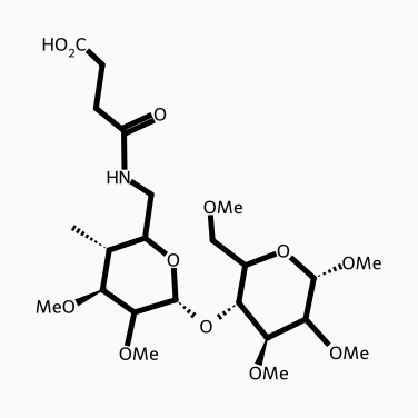 COCC1O[C@H](OC)C(OC)[C@@H](OC)[C@@H]1O[C@H]1OC(CNC(=O)CCC(=O)O)[C@@H](C)[C@H](OC)C1OC